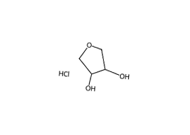 Cl.OC1COCC1O